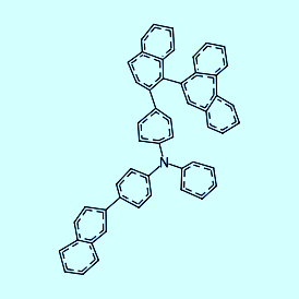 c1ccc(N(c2ccc(-c3ccc4ccccc4c3)cc2)c2ccc(-c3ccc4ccccc4c3-c3cc4ccccc4c4ccccc34)cc2)cc1